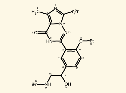 CCCc1nc(C)c2c(=O)[nH]c(-c3cc(C(O)CNC(C)C)ccc3OCC)nn12